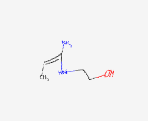 CC=C(N)NCCO